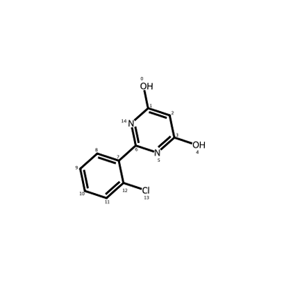 Oc1cc(O)nc(-c2ccccc2Cl)n1